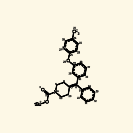 CC(C)(C)OC(=O)N1CCC(=C(c2ccccc2)c2cccc(Oc3ccc(C(F)(F)F)cn3)c2)CC1